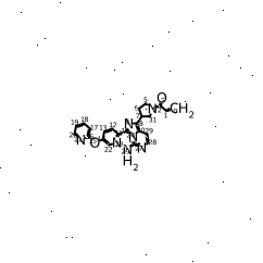 C=CC(=O)N1CCC(c2nc(-c3ccc(Oc4ccccn4)cn3)n3c(N)nccc23)C1